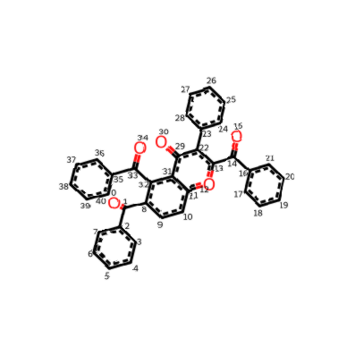 O=C(c1ccccc1)c1ccc2oc(C(=O)c3ccccc3)c(-c3ccccc3)c(=O)c2c1C(=O)c1ccccc1